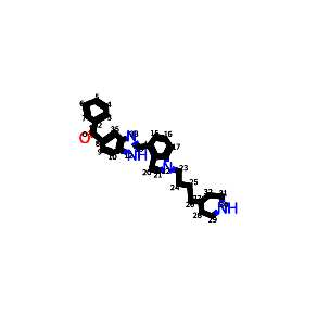 O=C(c1ccccc1)c1ccc2[nH]c(-c3cccc4c3ccn4CCCCC3CCNCC3)nc2c1